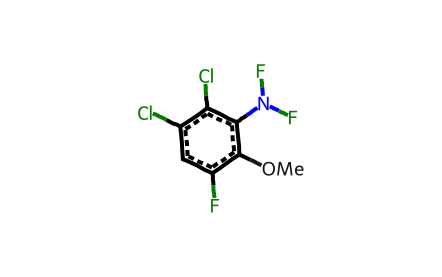 COc1c(F)cc(Cl)c(Cl)c1N(F)F